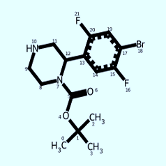 CC(C)(C)OC(=O)N1CCNCC1c1cc(F)c(Br)cc1F